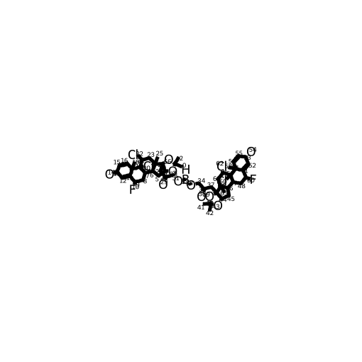 CC1(C)OC2CC3C4CC(F)C5=CC(=O)C=CC5(C)C4(Cl)C(Cl)CC3(C)C2(CC(=O)COBOCC(=O)CC23OC(C)(C)OC2CC2C4CC(F)C5=CC(=O)C=CC5(C)C4(Cl)C(Cl)CC23C)O1